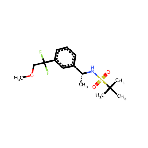 COCC(F)(F)c1cccc([C@@H](C)NS(=O)(=O)C(C)(C)C)c1